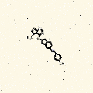 Cc1ccc(/C=C/c2ccc3c(c2)CC(Nc2ncnc4scc(C)c24)C3)cc1